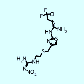 N/C(=N/[N+](=O)[O-])NCCSCc1csc(N/C(N)=N\CC(F)(F)Cl)n1